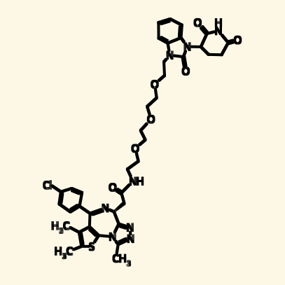 Cc1sc2c(c1C)C(c1ccc(Cl)cc1)=N[C@@H](CC(=O)NCCOCCOCCOCCn1c(=O)n(C3CCC(=O)NC3=O)c3ccccc31)c1nnc(C)n1-2